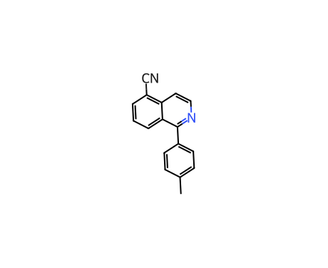 Cc1ccc(-c2nccc3c(C#N)cccc23)cc1